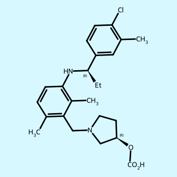 CC[C@@H](Nc1ccc(C)c(CN2CC[C@@H](OC(=O)O)C2)c1C)c1ccc(Cl)c(C)c1